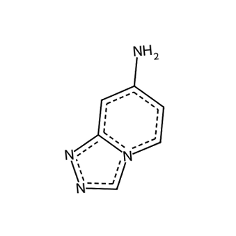 Nc1ccn2cnnc2c1